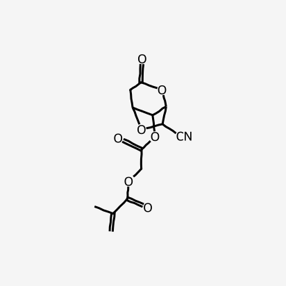 C=C(C)C(=O)OCC(=O)OC1C2CC(=O)OC1C(C#N)O2